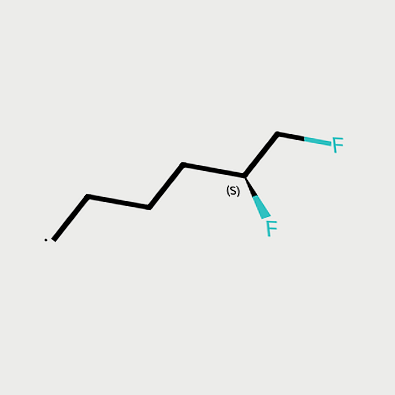 [CH2]CCC[C@H](F)CF